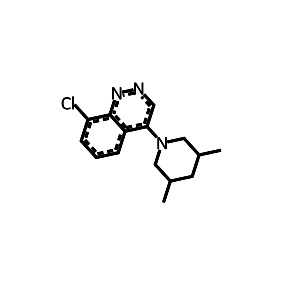 CC1CC(C)CN(c2cnnc3c(Cl)cccc23)C1